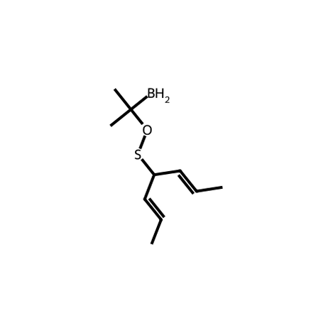 BC(C)(C)OSC(C=CC)C=CC